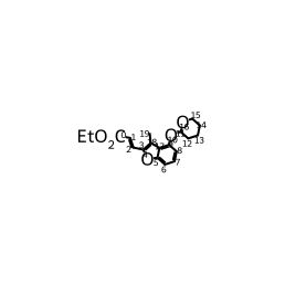 CCOC(=O)C=Cc1oc2cccc(OC3CCCCO3)c2c1C